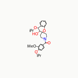 COc1cc(C(=O)N2CCC3(CC2)Oc2ccccc2C(OC(C)C)C3O)ccc1OC(C)C